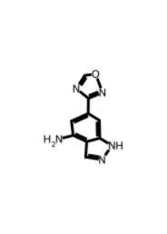 Nc1cc(-c2ncon2)cc2[nH]ncc12